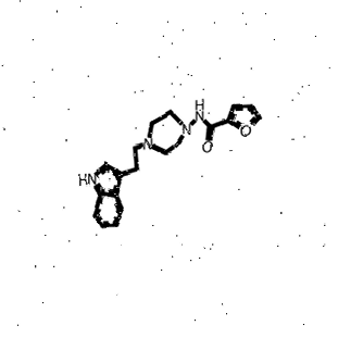 O=C(NN1CCN(CCc2c[nH]c3ccccc23)CC1)c1ccco1